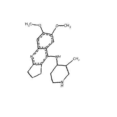 COc1cc2nc3c(c(NC4CCNCC4C)c2cc1OC)CCC3